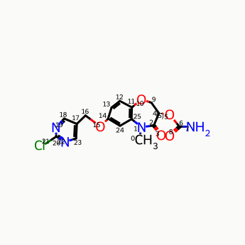 CN1C(=O)[C@@H](OC(N)=O)COc2ccc(OCc3cnc(Cl)nc3)cc21